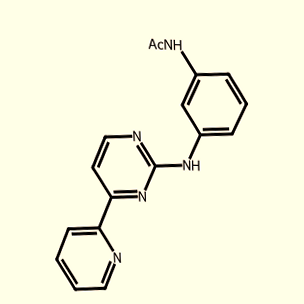 CC(=O)Nc1cccc(Nc2nccc(-c3ccccn3)n2)c1